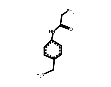 BCC(=O)Nc1ccc(CN)cc1